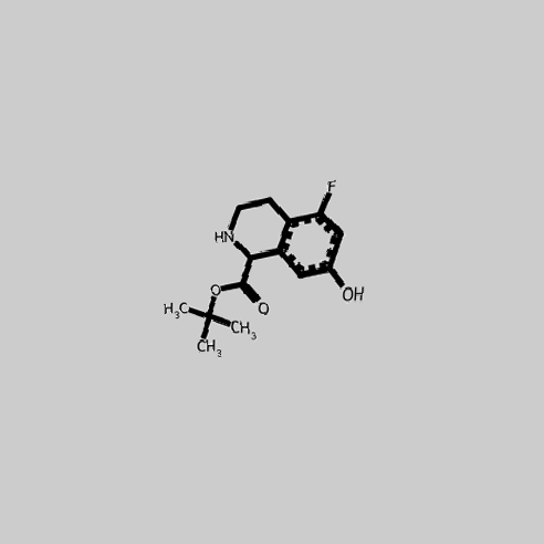 CC(C)(C)OC(=O)C1NCCc2c(F)cc(O)cc21